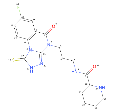 O=C(NCCCn1c(=O)c2cc(F)ccc2n2c(=S)[nH]nc12)C1CCCCN1